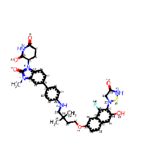 Cn1c(=O)n(C2CCC(=O)NC2=O)c2ccc(-c3ccc(NCC(C)(C)CCOc4ccc5cc(O)c(N6CC(=O)NS6)c(F)c5c4)cc3)cc21